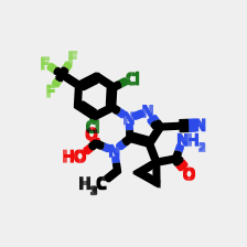 CCN(C(=O)O)c1c(C2(C(N)=O)CC2)c(C#N)nn1-c1c(Cl)cc(C(F)(F)F)cc1Cl